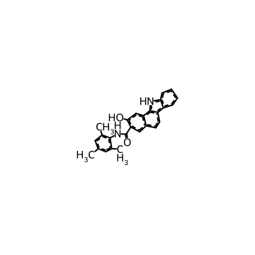 Cc1cc(C)c(NC(=O)c2cc3ccc4c5ccccc5[nH]c4c3cc2O)c(C)c1